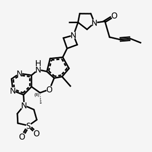 CC#CCC(=O)N1CCC(C)(N2CC(c3cc(C)c4c(c3)Nc3ncnc(N5CCS(=O)(=O)CC5)c3[C@@H](C)O4)C2)C1